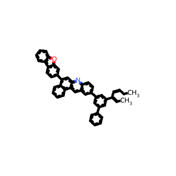 C/C=C(\C=C/CC)c1cc(-c2ccccc2)cc(-c2ccc3nc4cc(-c5ccc6c(c5)oc5ccccc56)c5ccccc5c4cc3c2)c1